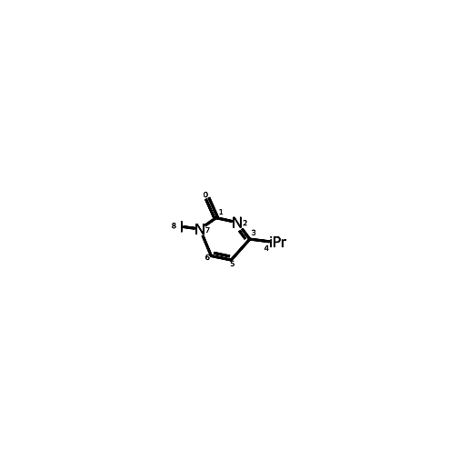 C=C1N=C(C(C)C)C=CN1I